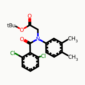 Cc1ccc(N(CC(=O)OC(C)(C)C)C(=O)c2c(Cl)cccc2Cl)cc1C